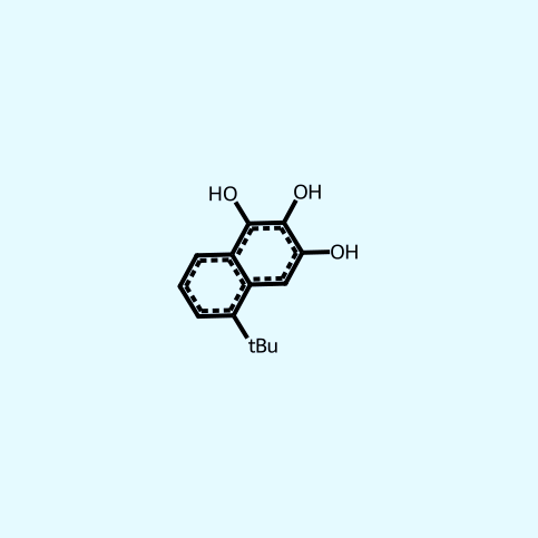 CC(C)(C)c1cccc2c(O)c(O)c(O)cc12